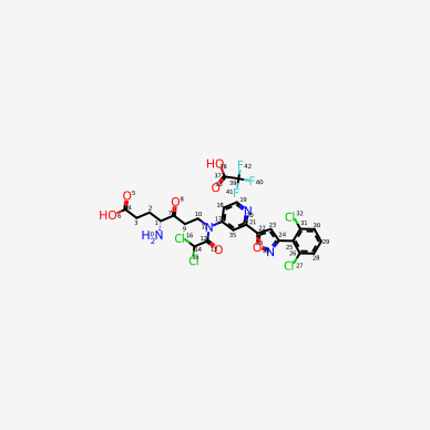 N[C@H](CCC(=O)O)C(=O)CCN(C(=O)C(Cl)Cl)c1ccnc(-c2cc(-c3c(Cl)cccc3Cl)no2)c1.O=C(O)C(F)(F)F